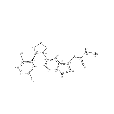 Cc1ncc(F)cc1[C@H]1CCCN1c1ccn2ncc(OC(=O)NC(C)(C)C)c2n1